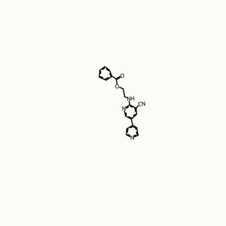 N#Cc1cc(-c2ccncc2)cnc1NCCOC(=O)c1ccccc1